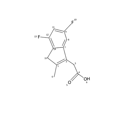 CC1=C(CC(=O)O)c2cc(F)cc(F)c2C1